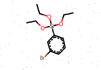 CCO[Si](OCC)(OCC)c1cccc(Br)c1